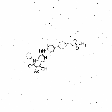 CC(=O)c1c(C)c2cnc(Nc3ccc(C4CCN(CCS(C)(=O)=O)CC4)cn3)cc2n(C2CCCC2)c1=O